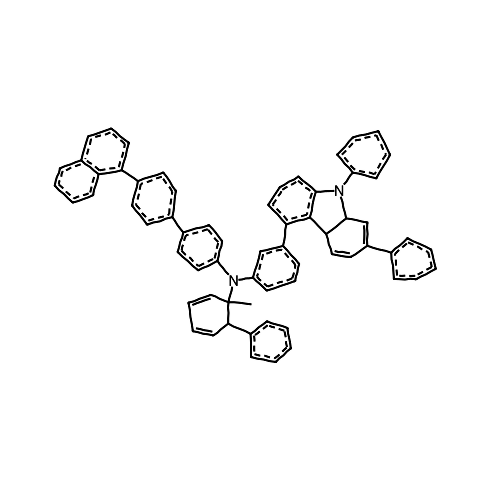 CC1(N(c2ccc(-c3ccc(-c4cccc5ccccc45)cc3)cc2)c2cccc(-c3cccc4c3C3C=CC(c5ccccc5)=CC3N4c3ccccc3)c2)C=CC=CC1c1ccccc1